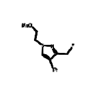 COCCn1cc(C(C)C)c(CF)n1